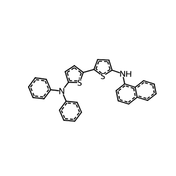 c1ccc(N(c2ccccc2)c2ccc(-c3ccc(Nc4cccc5ccccc45)s3)s2)cc1